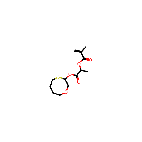 C=C(C)C(=O)OC(C)C(=O)OC1COCCCCS1